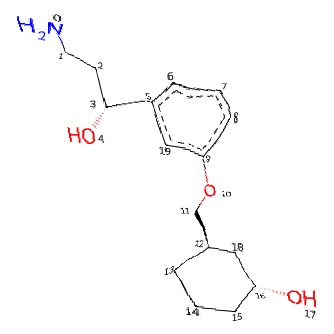 NCC[C@@H](O)c1cccc(OC[C@@H]2CCC[C@@H](O)C2)c1